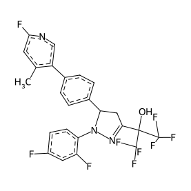 Cc1cc(F)ncc1-c1ccc(C2CC(C(O)(C(F)(F)F)C(F)(F)F)=NN2c2ccc(F)cc2F)cc1